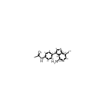 CC(=O)Nc1ccc(-c2csc3c(I)cnc(N)c23)cc1